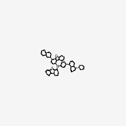 c1ccc(-c2cccc3c(-c4ccc(N(c5cccc6c5sc5ccccc56)c5ccc(-c6ccc7ccccc7c6)c6oc7ccccc7c56)cc4)cccc23)cc1